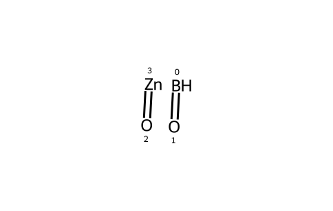 B=O.[O]=[Zn]